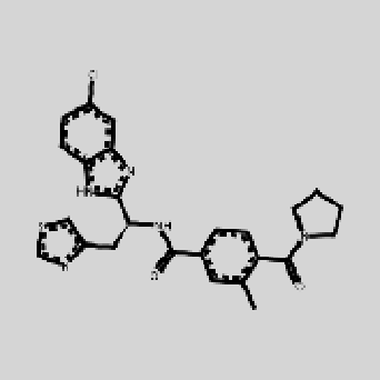 Cc1cc(C(=O)N[C@@H](Cc2cscn2)c2nc3cc(Cl)ccc3[nH]2)ccc1C(=O)N1CCCC1